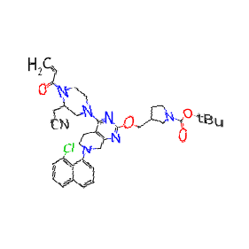 C=CC(=O)N1CCN(c2nc(OCC3CCN(C(=O)OC(C)(C)C)C3)nc3c2CCN(c2cccc4cccc(Cl)c24)C3)CC1CC#N